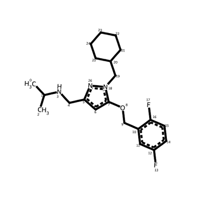 CC(C)NCc1cc(OCc2cc(F)ccc2F)n(CC2CCCCC2)n1